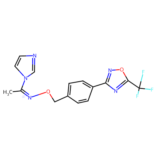 C/C(=N/OCc1ccc(-c2noc(C(F)(F)F)n2)cc1)n1ccnc1